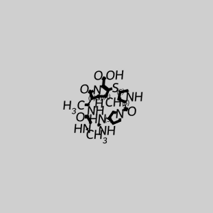 CNCC(=O)NC(C)[C@H]1C(=O)N2C(C(=O)O)=C(S[C@@H]3CN[C@H](C(=O)N4CC[C@H](NC=N)C4)C3)[C@H](C)[C@H]12